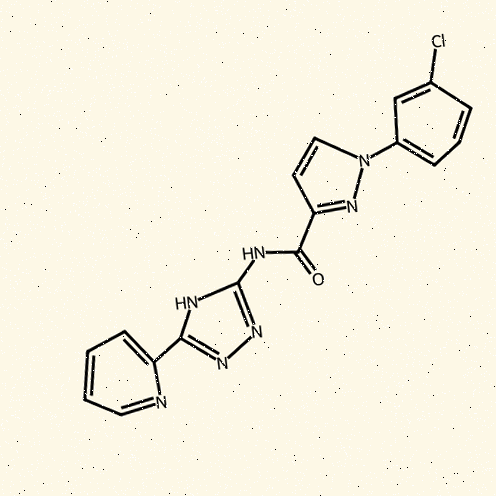 O=C(Nc1nnc(-c2ccccn2)[nH]1)c1ccn(-c2cccc(Cl)c2)n1